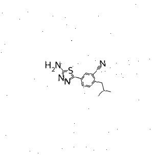 CC(C)Cc1ccc(-c2nnc(N)s2)cc1C#N